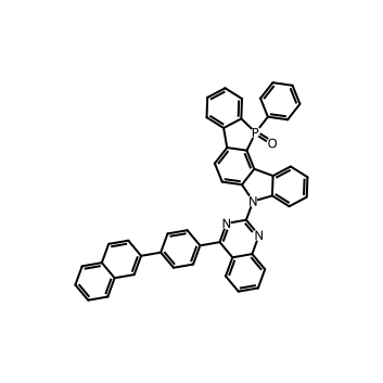 O=P1(c2ccccc2)c2ccccc2-c2ccc3c(c21)c1ccccc1n3-c1nc(-c2ccc(-c3ccc4ccccc4c3)cc2)c2ccccc2n1